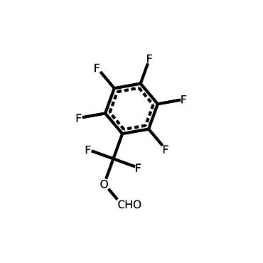 O=COC(F)(F)c1c(F)c(F)c(F)c(F)c1F